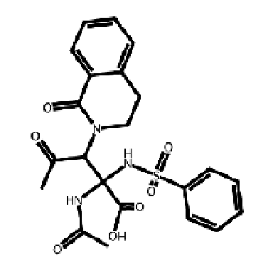 CC(=O)NC(NS(=O)(=O)c1ccccc1)(C(=O)O)C(C(C)=O)N1CCc2ccccc2C1=O